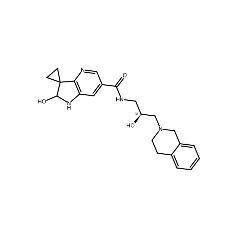 O=C(NC[C@H](O)CN1CCc2ccccc2C1)c1cnc2c(c1)NC(O)C21CC1